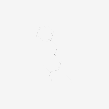 N#CC(=CNCc1ccccc1)C(=O)O